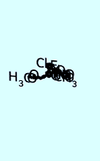 CCOC(=O)CCCC#Cc1ccc(-n2c(-c3ccc(Cl)cc3F)nc(C(=O)NN3CCS(=O)(=O)CC3)c2OC)cc1